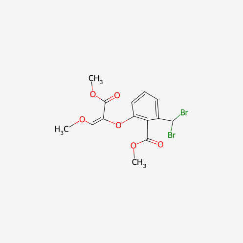 CO/C=C(/Oc1cccc(C(Br)Br)c1C(=O)OC)C(=O)OC